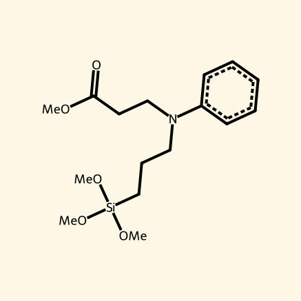 COC(=O)CCN(CCC[Si](OC)(OC)OC)c1ccccc1